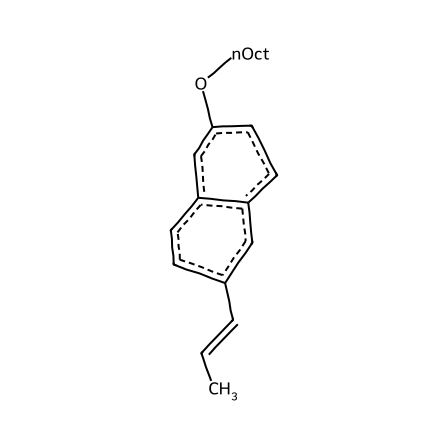 C/C=C/c1ccc2cc(OCCCCCCCC)ccc2c1